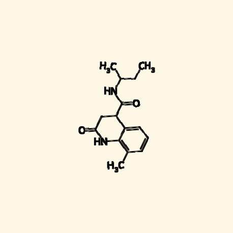 CCC(C)NC(=O)C1CC(=O)Nc2c(C)cccc21